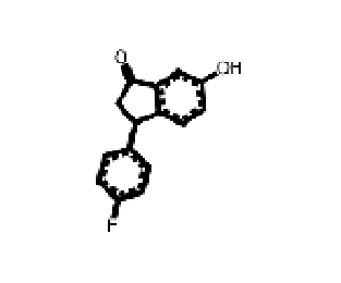 O=C1CC(c2ccc(F)cc2)c2ccc(O)cc21